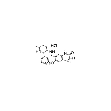 COc1cc2c(cc1CNC1CCC(C)NC1c1ccccc1)N(C)C(=O)[C@H]1CC21.Cl